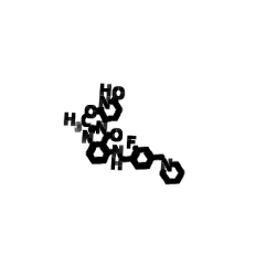 Cc1nc2cccc(NCc3ccc(CN4CCCCC4)cc3F)c2c(=O)n1C1CCC(=O)NC1=O